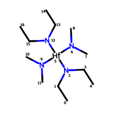 CC[N](CC)[Hf]([N](C)C)([N](C)C)[N](CC)CC